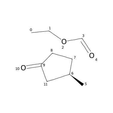 CCOC=O.C[C@@H]1CCC(=O)C1